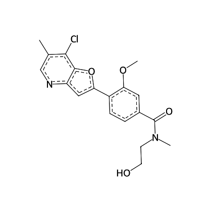 COc1cc(C(=O)N(C)CCO)ccc1-c1cc2ncc(C)c(Cl)c2o1